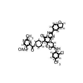 CCc1c(N2CCN(C(=O)c3nc(C)ncc3OC)CC2)c(=O)n2nc(-c3ccc4c(c3)CCO4)nc2n1CC(=O)Nc1ccc(C(F)(F)F)cc1Cl